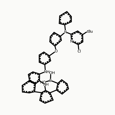 CC(C)(C)c1cc(Cl)nc(N(c2ccccc2)c2cccc(Oc3cccc(Nc4ccccc4Nc4c(-c5ccccc5)cccc4-c4ccccc4B(O)O)c3)c2)c1